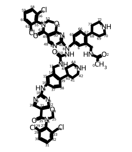 CC(=O)NCc1cc(N(NC(=O)NCc2cc(Nc3ncc4c(n3)OCN(c3c(Cl)cccc3Cl)C4=O)ccc2C2CCNCC2)c2ncc3c(n2)OCN(c2c(Cl)cccc2Cl)C3=O)ccc1C1CCNCC1